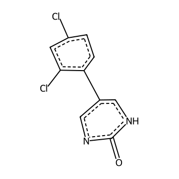 O=c1ncc(-c2ccc(Cl)cc2Cl)c[nH]1